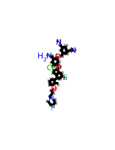 Cc1c(OCCCN2CCC(F)CC2)cccc1-c1cc(F)cc2c1CCC2Oc1cc(OCc2cc(C#N)cc(C#N)c2)c(CN)cc1Cl